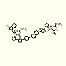 COC(=O)N[C@H](C(=O)N1CCC[C@H]1c1ncc(-c2ccc3cc(-c4ccc(-c5cnc(C6CCCN6C(=O)[C@@H](Cc6cn(C)c7ccccc67)NC(=O)OC)[nH]5)cc4)ccc3c2)[nH]1)C(C)C